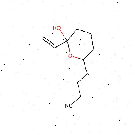 C=CC1(O)CCCC(CCCC#N)O1